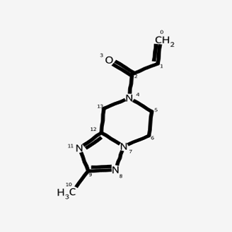 C=CC(=O)N1CCn2nc(C)nc2C1